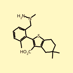 Cc1cccc(CN(C)N)c1-c1sc2c(c1C(=O)O)CC(C)(C)CC2